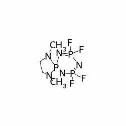 CN1CCN(C)P12=NP(F)(F)=NP(F)(F)=N2